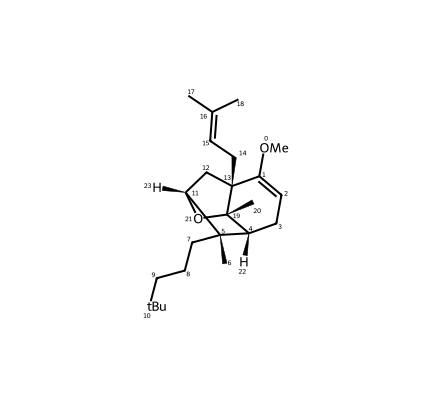 COC1=CC[C@@H]2[C@](C)(CCCC(C)(C)C)[C@H]3C[C@@]1(CC=C(C)C)[C@@]2(C)O3